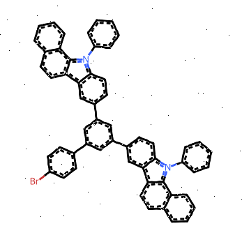 Brc1ccc(-c2cc(-c3ccc4c(c3)c3ccc5ccccc5c3n4-c3ccccc3)cc(-c3ccc4c(c3)c3ccc5ccccc5c3n4-c3ccccc3)c2)cc1